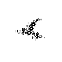 C=C(C)C(=O)OCCOc1ccc(COC(=O)C(=C)C)cc1-c1ccc(-c2ccc(OCCO)cc2)c(CC)c1